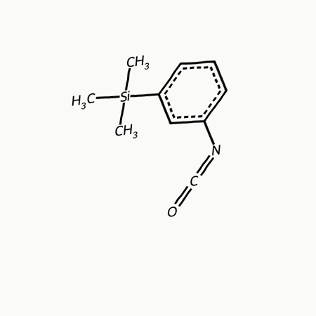 C[Si](C)(C)c1cccc(N=C=O)c1